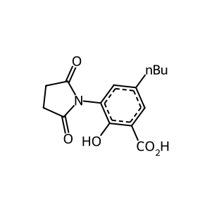 CCCCc1cc(C(=O)O)c(O)c(N2C(=O)CCC2=O)c1